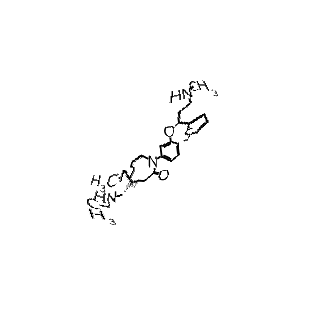 CCNC[C@H]1CC(=O)N(c2cccc(OC(CCNC)c3cccs3)c2)CCN1C